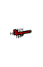 CC[C@H](C)[C@H](NC(=O)C(C)(C)N(C)C)C(=O)N(C)[C@H](C[C@@H](OC(C)=O)c1nc(C(=O)N[C@@H](Cc2ccc(O)c(NC(=O)CNC(=O)CNC(=O)CCCNC(=O)[C@H](CCCCNC(=O)COCCOCCOCCOCCOCCOCCOCCOCCOCCOC)NC(=O)CCCN3C(=O)C=CC3=O)c2)C[C@H](C)C(=O)O)cs1)C(C)C